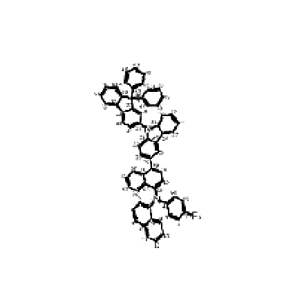 Fc1ccc(N(c2cccc3ccccc23)c2ccc(-c3ccc4c(c3)c3ccccc3n4-c3ccc4c(c3)C(c3ccccc3)(c3ccccc3)c3ccccc3-4)c3ccccc23)cc1